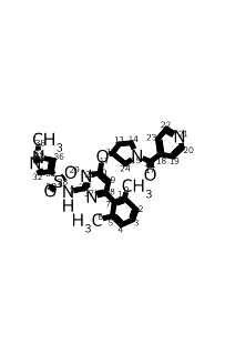 Cc1cccc(C)c1-c1cc(OC2CCN(C(=O)c3ccncc3)C2)nc(NS(=O)(=O)c2cnn(C)c2)n1